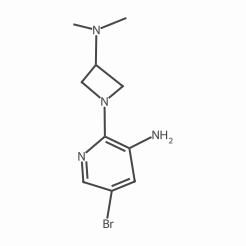 CN(C)C1CN(c2ncc(Br)cc2N)C1